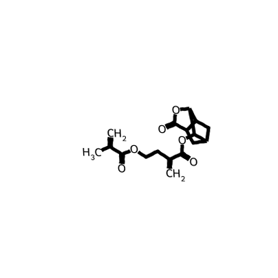 C=C(C)C(=O)OCCC(=C)C(=O)OC1C2CC3C(=O)OC1C3C2